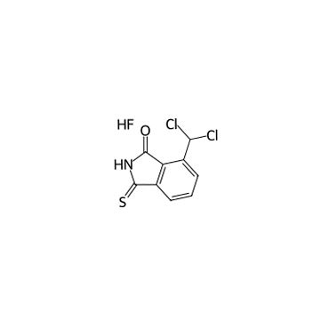 F.O=C1NC(=S)c2cccc(C(Cl)Cl)c21